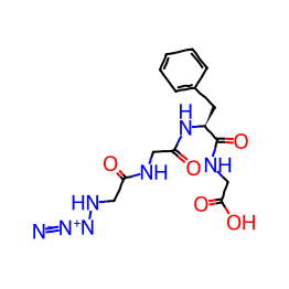 [N-]=[N+]=NNCC(=O)NCC(=O)N[C@@H](Cc1ccccc1)C(=O)NCC(=O)O